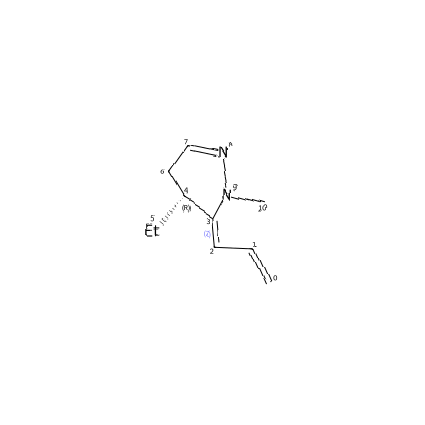 C=C/C=C1/[C@H](CC)CC=NN1C